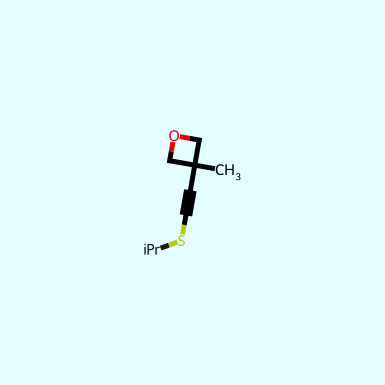 CC(C)SC#CC1(C)COC1